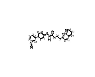 N#Cc1cccc(-c2ccc(CNC(=O)CCCc3ccc4cccnc4n3)cc2)c1